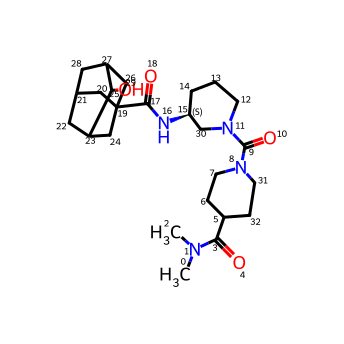 CN(C)C(=O)C1CCN(C(=O)N2CCC[C@H](NC(=O)C34CC5CC(C3)C(O)C(C5)C4)C2)CC1